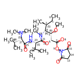 CC[C@H](C)[C@H]([C@@H](CC(=O)ON1C(=O)CCC1=O)OC)N(C)C(=O)[C@@H](NC(=O)[C@H](C(C)C)N(C)C)C(C)C